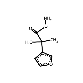 CC(C)(C(=O)ON)c1ccoc1